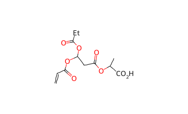 C=CC(=O)OC(CC(=O)OC(C)C(=O)O)OC(=O)CC